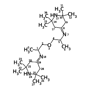 CC(COCC(C)N=C1CC(C)(C)NC(C)(C)C1)N=C1CC(C)(C)NC(C)(C)C1